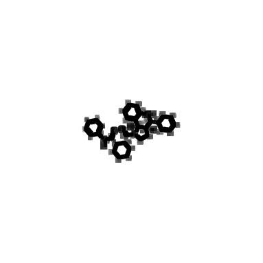 O=C(Nc1ccccc1)[C@H]1CCCC[C@H]1C(=O)N1CC[C@@H]2[C@H](C3C=CC=CC3)Nc3ccccc3[C@@H]21